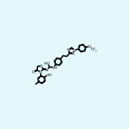 CCCc1ccc(C)cc1N1C(=O)CS/C1=N\C(O)Nc1ccc(CCc2ncn(-c3ccc(OC(F)(F)F)cc3)n2)cc1